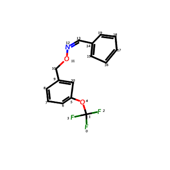 FC(F)(F)Oc1cccc(CO/N=[C]\c2ccccc2)c1